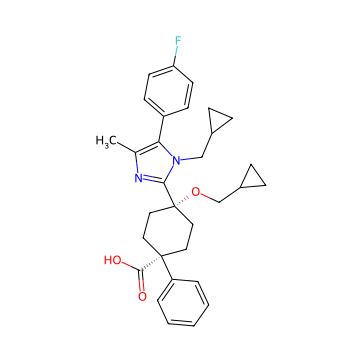 Cc1nc([C@]2(OCC3CC3)CC[C@](C(=O)O)(c3ccccc3)CC2)n(CC2CC2)c1-c1ccc(F)cc1